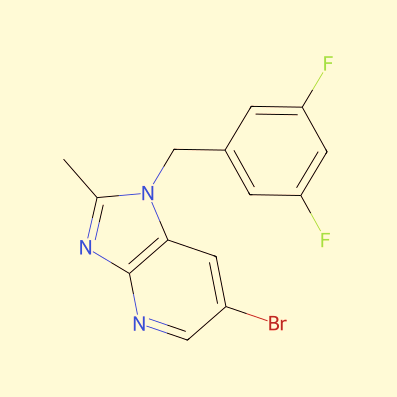 Cc1nc2ncc(Br)cc2n1Cc1cc(F)cc(F)c1